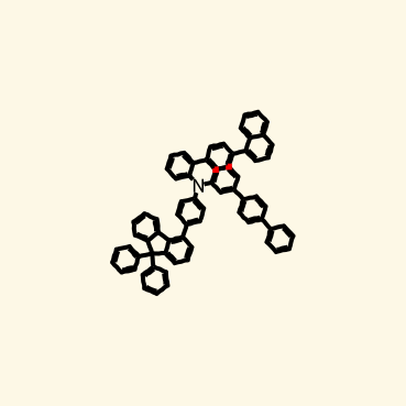 c1ccc(-c2ccc(-c3cccc(N(c4ccc(-c5cccc6c5-c5ccccc5C6(c5ccccc5)c5ccccc5)cc4)c4ccccc4-c4ccc(-c5cccc6ccccc56)cc4)c3)cc2)cc1